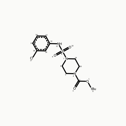 CC(C)(C)OC(=O)N1CCN(S(=O)(=O)Nc2cccc(Cl)c2)CC1